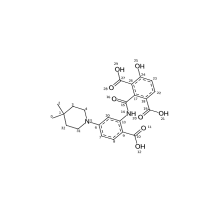 CC1(C)CCN(c2ccc(C(=O)O)c(NC(=O)c3c(C(=O)O)ccc(O)c3C(=O)O)c2)CC1